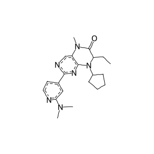 CCC1C(=O)N(C)c2cnc(-c3ccnc(N(C)C)c3)nc2N1C1CCCC1